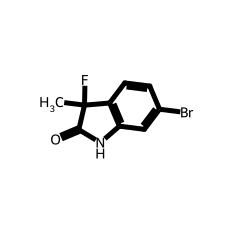 CC1(F)C(=O)Nc2cc(Br)ccc21